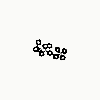 c1ccc(-c2cccc3c2sc2c(N(c4ccc(-c5cccc([Si](c6ccccc6)(c6ccccc6)c6ccccc6)c5)cc4)c4cccc5ccccc45)cccc23)cc1